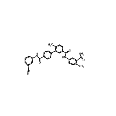 Cc1ccc(NC(=O)c2ccc(C)c(-c3ccc(C(=O)Nc4cccc(C#N)c4)cc3)c2)cc1C(N)=O